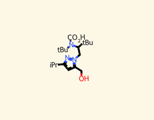 CC(C)c1cc(CO)n(CC(N(C(=O)O)C(C)(C)C)C(C)(C)C)n1